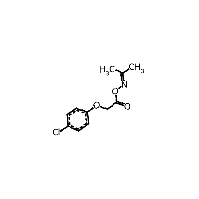 CC(C)=NOC(=O)COc1ccc(Cl)cc1